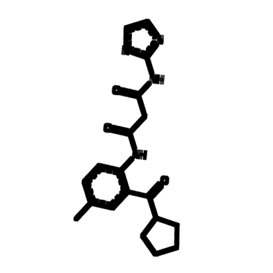 Cc1ccc(NC(=O)CC(=O)Nc2nccs2)c(C(=O)C2CCCC2)c1